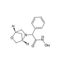 O=C(NO)C(c1ccccc1)N1C[C@@H]2C[C@H]1CO2